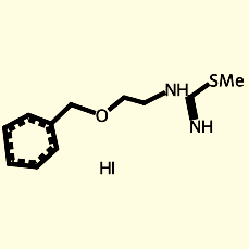 CSC(=N)NCCOCc1ccccc1.I